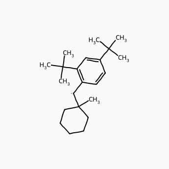 CC1([CH]c2ccc(C(C)(C)C)cc2C(C)(C)C)CCCCC1